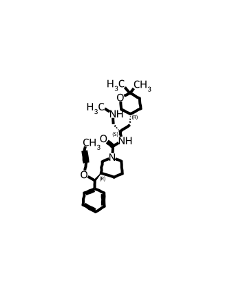 CC#COC(c1ccccc1)[C@@H]1CCCN(C(=O)N[C@H](CNC)C[C@H]2CCC(C)(C)OC2)C1